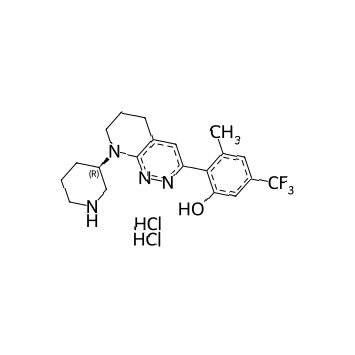 Cc1cc(C(F)(F)F)cc(O)c1-c1cc2c(nn1)N([C@@H]1CCCNC1)CCC2.Cl.Cl